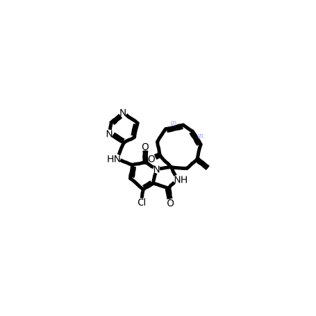 C=C1/C=C\C=C/CC(=O)C2(C1)NC(=O)c1c(Cl)cc(Nc3ccncn3)c(=O)n12